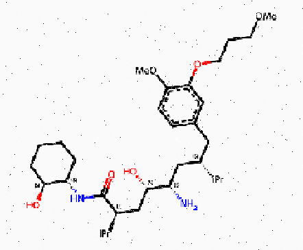 COCCCOc1cc(C[C@@H](C[C@H](N)[C@@H](O)C[C@H](C(=O)N[C@H]2CCCC[C@@H]2O)C(C)C)C(C)C)ccc1OC